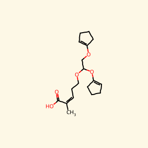 CC(=CCCOC(COC1=CCCC1)OC1=CCCC1)C(=O)O